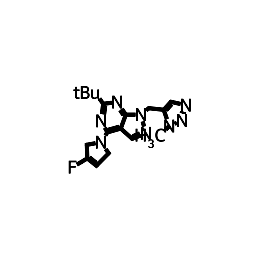 Cn1nncc1Cn1ncc2c(N3CC=C(F)C3)nc(C(C)(C)C)nc21